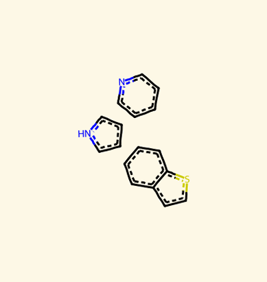 c1cc[nH]c1.c1ccc2sccc2c1.c1ccncc1